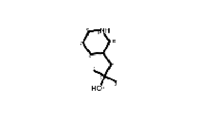 CC(C)(O)CC1CCCNC1